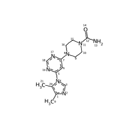 Cc1ncn(-c2cc(N3CCN(C(N)=O)CC3)ncn2)c1C